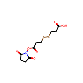 O=C(O)CCSSCCC(=O)ON1C(=O)CCC1=O